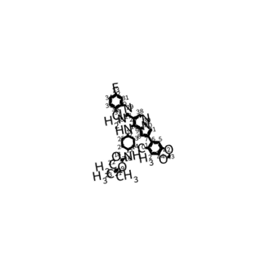 Cc1cc2c(cc1-c1cc3c(N[C@H]4CC[C@H](NC(=O)OC(C)(C)C)CC4)c(/C(N)=N/c4cc(F)ccc4Cl)cnn3c1)OCO2